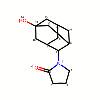 O=C1CCCN1C1C2CC3CC1CC(O)(C3)C2